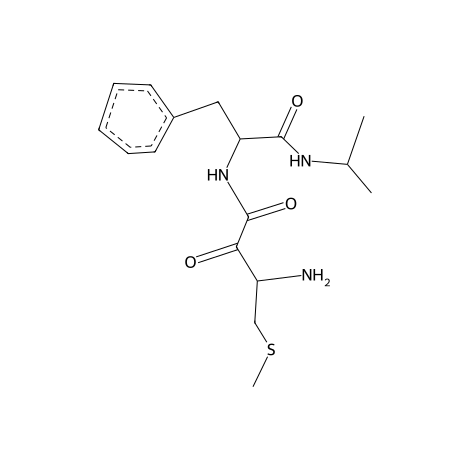 CSCC(N)C(=O)C(=O)NC(Cc1ccccc1)C(=O)NC(C)C